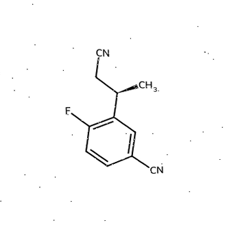 C[C@H](CC#N)c1cc(C#N)ccc1F